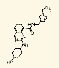 CCn1cc(CNC(=O)c2cccc3cnc(NC4CCC(O)CC4)nc23)cn1